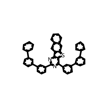 c1ccc(-c2cccc(-c3cccc(-c4nc(-c5cccc(-c6cccc(-c7ccccc7)c6)c5)c5sc6cc7ccccc7cc6c5n4)c3)c2)cc1